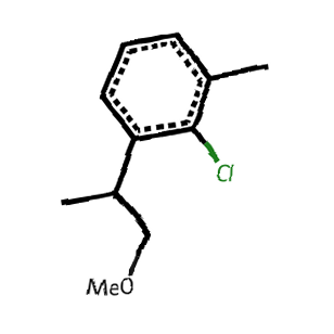 COC[C](C)c1cccc(C)c1Cl